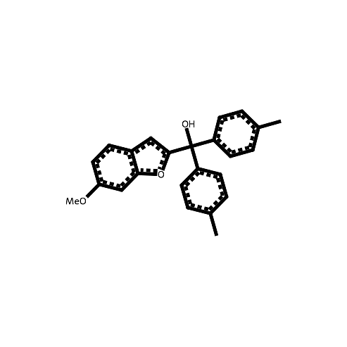 COc1ccc2cc(C(O)(c3ccc(C)cc3)c3ccc(C)cc3)oc2c1